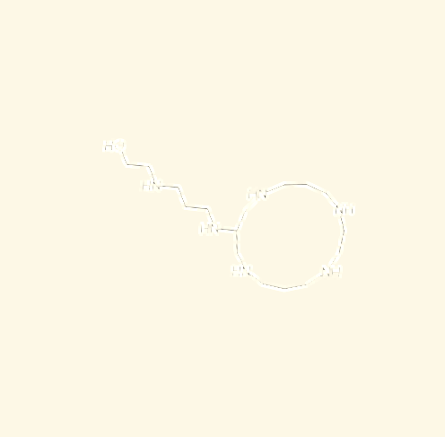 OCCNCCCNC1CNCCCNCCNCCCNC1